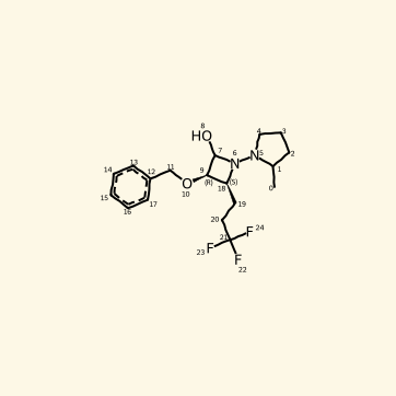 CC1CCCN1N1C(O)[C@H](OCc2ccccc2)[C@@H]1CCC(F)(F)F